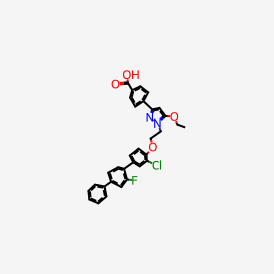 CCOc1cc(-c2ccc(C(=O)O)cc2)nn1CCOc1ccc(-c2ccc(-c3ccccc3)cc2F)cc1Cl